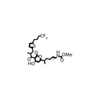 COC(=O)N/C=C/CCC(C)c1cc(O)c(C(=O)C(C)Cc2ccc(CCCC(F)(F)F)s2)c(=O)o1